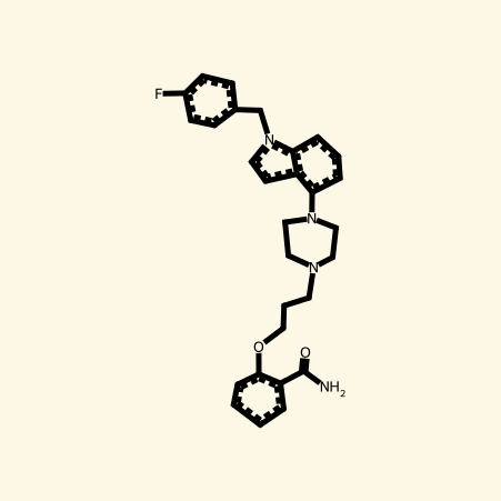 NC(=O)c1ccccc1OCCCN1CCN(c2cccc3c2ccn3Cc2ccc(F)cc2)CC1